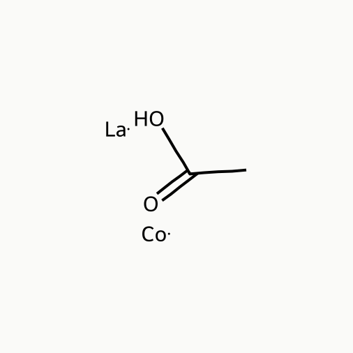 CC(=O)O.[Co].[La]